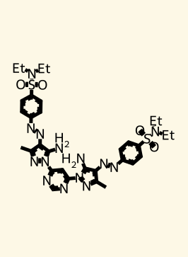 CCN(CC)S(=O)(=O)c1ccc(/N=N/c2c(C)nn(-c3cc(-n4nc(C)c(/N=N/c5ccc(S(=O)(=O)N(CC)CC)cc5)c4N)ncn3)c2N)cc1